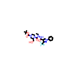 CCN(NC(=O)c1cn(-c2ccccc2)nc1C(F)(F)F)C(=O)N1CCN(C(=O)OC(C)(C)C)CC1CO